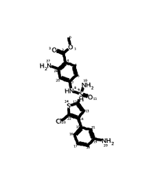 COC(=O)c1ccc(N[SH](N)(=O)c2cc(-c3cccc(N)c3)c(Cl)s2)cc1N